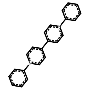 c1ccc(-[n+]2ccc(-c3cc[n+](-c4ccccc4)cc3)cc2)cc1